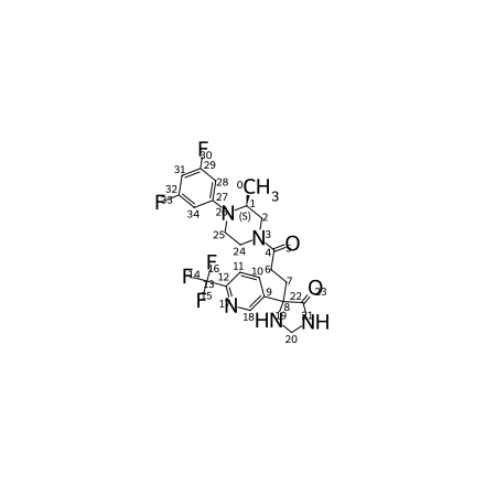 C[C@H]1CN(C(=O)CCC2(c3ccc(C(F)(F)F)nc3)NCNC2=O)CCN1c1cc(F)cc(F)c1